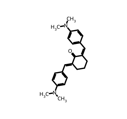 CN(C)c1ccc(/C=C2/CCC/C(=C\c3ccc(N(C)C)cc3)C2=O)cc1